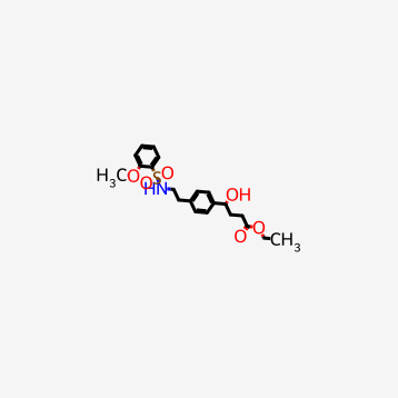 CCOC(=O)CCC(O)c1ccc(CCNS(=O)(=O)c2ccccc2OC)cc1